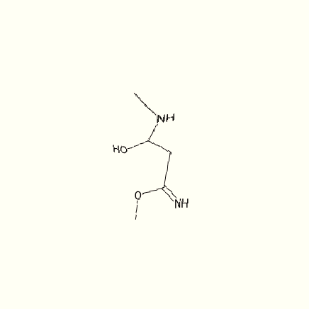 CNC(O)CC(=N)OC